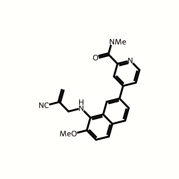 C=C(C#N)CNc1c(OC)ccc2ccc(-c3ccnc(C(=O)NC)c3)cc12